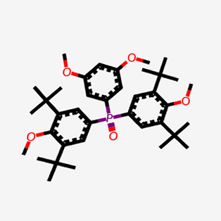 COc1cc(OC)cc(P(=O)(c2cc(C(C)(C)C)c(OC)c(C(C)(C)C)c2)c2cc(C(C)(C)C)c(OC)c(C(C)(C)C)c2)c1